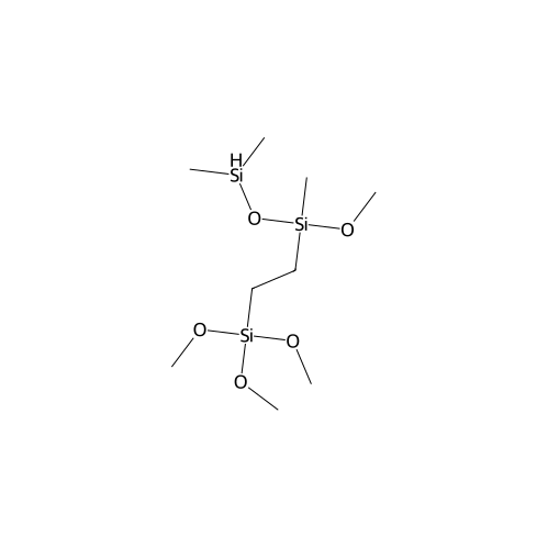 CO[Si](C)(CC[Si](OC)(OC)OC)O[SiH](C)C